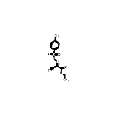 CCOC(=O)/C(C#N)=N/OS(=O)(=O)c1ccc(C)cc1